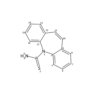 NC(=S)N1c2ccccc2C=Cc2ccccc21